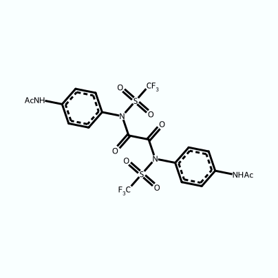 CC(=O)Nc1ccc(N(C(=O)C(=O)N(c2ccc(NC(C)=O)cc2)S(=O)(=O)C(F)(F)F)S(=O)(=O)C(F)(F)F)cc1